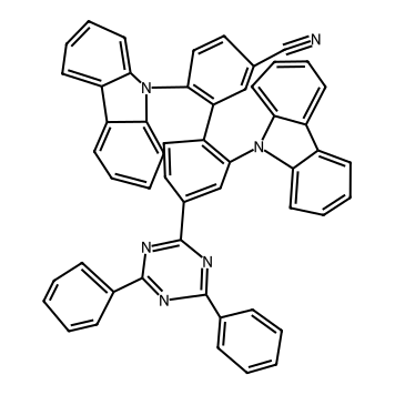 N#Cc1ccc(-n2c3ccccc3c3ccccc32)c(-c2ccc(-c3nc(-c4ccccc4)nc(-c4ccccc4)n3)cc2-n2c3ccccc3c3ccccc32)c1